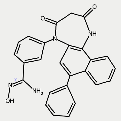 N/C(=N\O)c1cccc(N2C(=O)CC(=O)Nc3c2cc(-c2ccccc2)c2ccccc32)c1